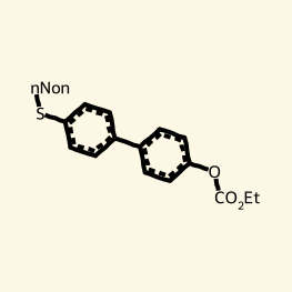 CCCCCCCCCSc1ccc(-c2ccc(OC(=O)OCC)cc2)cc1